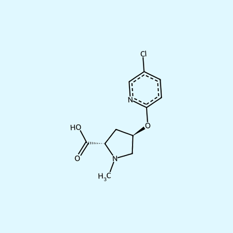 CN1C[C@H](Oc2ccc(Cl)cn2)C[C@H]1C(=O)O